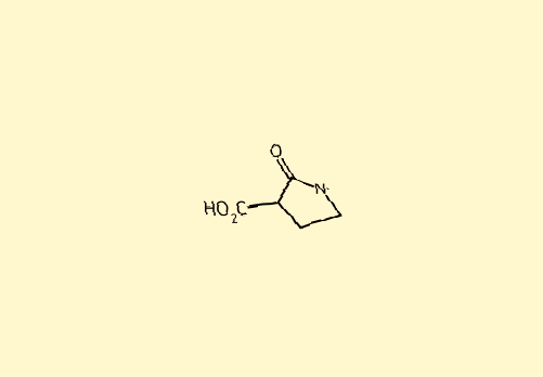 O=C(O)C1CC[N]C1=O